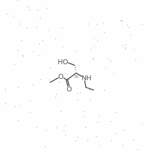 CCN[C@@H](CO)C(=O)OC